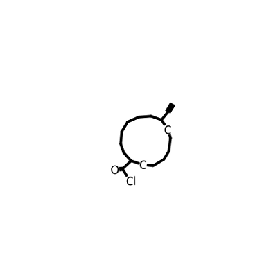 C#CC1CCCCCCC(C(=O)Cl)CCCCCC1